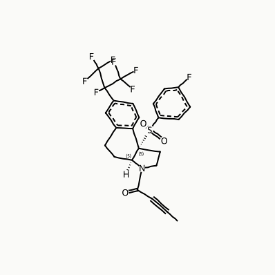 CC#CC(=O)N1CC[C@]2(S(=O)(=O)c3ccc(F)cc3)c3ccc(C(F)(C(F)(F)F)C(F)(F)F)cc3CC[C@H]12